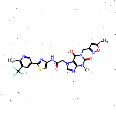 Cc1cc(Cn2c(=O)c3c(ncn3CC(=O)Nc3csc(-c4cnc(C)c(C(F)(F)F)c4)n3)n(C)c2=O)no1